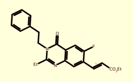 CCOC(=O)/C=C/c1cc2nc(CC)n(CCc3ccccc3)c(=O)c2cc1F